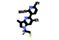 CCc1cc2c(nc1-c1ccc(C(C)C)nc1NC)c(C)cn2[C@@H](C)CF